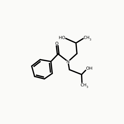 CC(O)CN(CC(C)O)C(=O)c1ccccc1